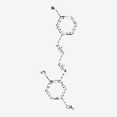 Cc1ccc(O)c(/N=C/C=C/c2cccc(Br)c2)c1